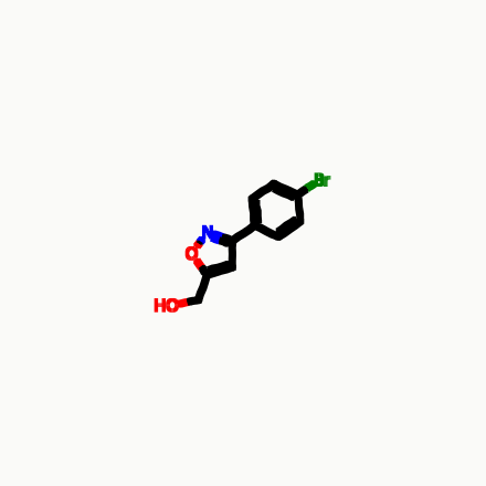 OCc1cc(-c2ccc(Br)cc2)no1